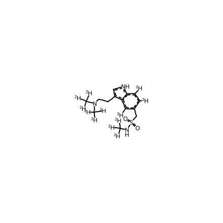 [2H]c1c(CS(=O)(=O)NC([2H])([2H])[2H])c([2H])c2c(CCN(C([2H])([2H])[2H])C([2H])([2H])[2H])c[nH]c2c1[2H]